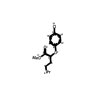 COC(=O)C(CCC(C)C)Oc1ccc(Cl)cc1